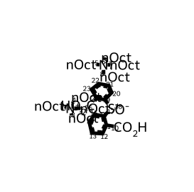 CCCCCCCC[N+](CCCCCCCC)(CCCCCCCC)CCCCCCCC.CCCCCCCC[N+](CCCCCCCC)(CCCCCCCC)CCCCCCCC.O=C(O)c1ccccc1[S+]([O-])c1ccccc1C(=O)O